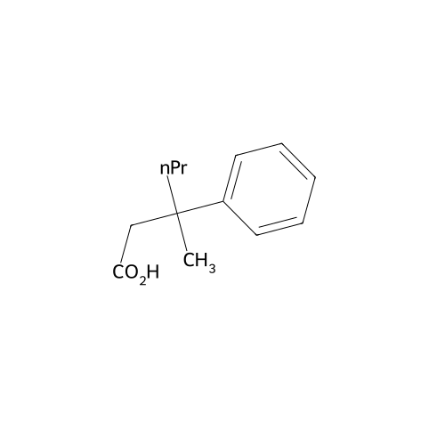 CCCC(C)(CC(=O)O)c1ccccc1